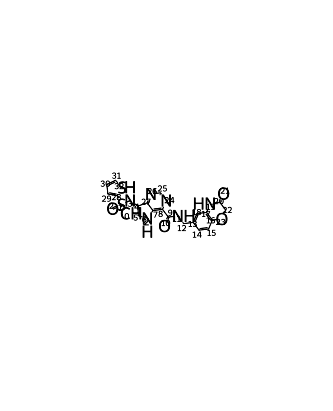 C=S(=O)(Nc1c[nH]c2c(C(=O)NCc3ccc4c(c3)NC(=O)CO4)ncnc12)c1cccs1